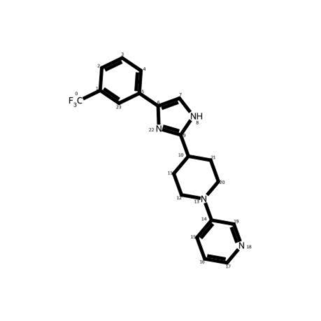 FC(F)(F)c1cccc(-c2c[nH]c(C3CCN(c4cccnc4)CC3)n2)c1